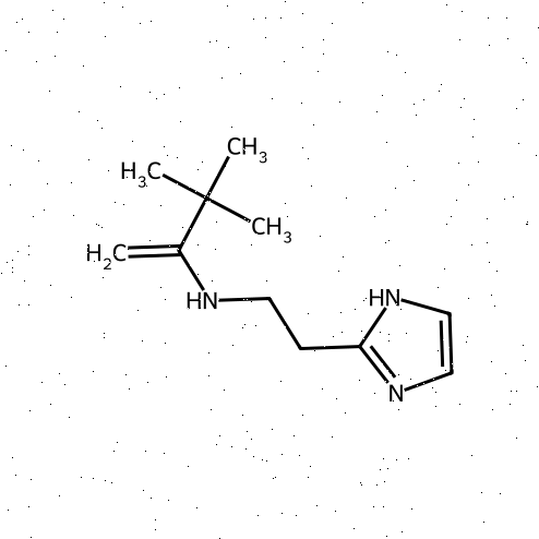 C=C(NCCc1ncc[nH]1)C(C)(C)C